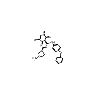 N[C@@H]1CCN(c2nc(Nc3ccc(Oc4ccccc4)cc3)c3c(=O)[nH]cc(Br)c3n2)C1